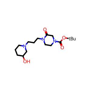 CC(C)(C)OC(=O)N1CCN(CCCN2CCCC(O)C2)C(=O)C1